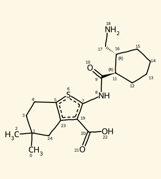 CC1(C)CCc2sc(NC(=O)[C@@H]3CCCC[C@H]3CN)c(C(=O)O)c2C1